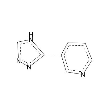 c1cncc(-c2nnc[nH]2)c1